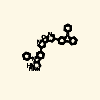 C1=NNNc2c1c1ccc(-c3cnc4oc5ncc(-c6ccc7c8ccccc8n(-c8ccccc8)c7c6)cc5c4c3)cc1n2-c1ccccc1